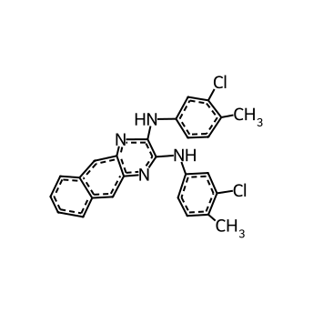 Cc1ccc(Nc2nc3cc4ccccc4cc3nc2Nc2ccc(C)c(Cl)c2)cc1Cl